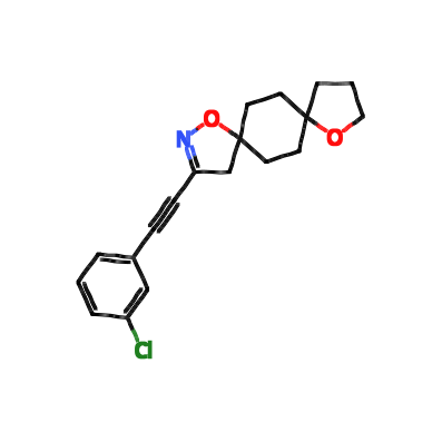 Clc1cccc(C#CC2=NOC3(CCC4(CCCO4)CC3)C2)c1